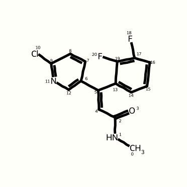 CNC(=O)C=C(c1ccc(Cl)nc1)c1cccc(F)c1F